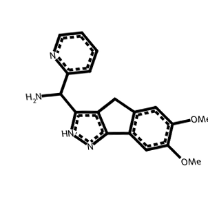 COc1cc2c(cc1OC)-c1n[nH]c(C(N)c3ccccn3)c1C2